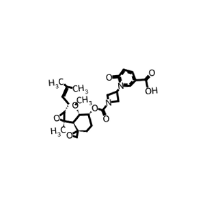 CO[C@@H]1[C@H](OC(=O)N2CC(n3cc(C(=O)O)ccc3=O)C2)CC[C@]2(CO2)[C@H]1[C@@]1(C)O[C@@H]1CC=C(C)C